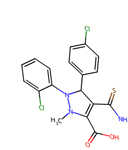 CN1C(C(=O)O)=C(C(N)=S)C(c2ccc(Cl)cc2)N1c1ccccc1Cl